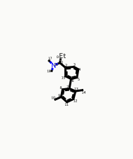 CCC(c1cccc(-c2cc(C)ccc2C)c1)N(C)C